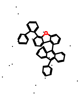 c1ccc(-c2ccccc2-c2cccc3c2oc2cccc(-c4c5ccccc5c(-c5ccccc5)c5ccccc45)c23)cc1